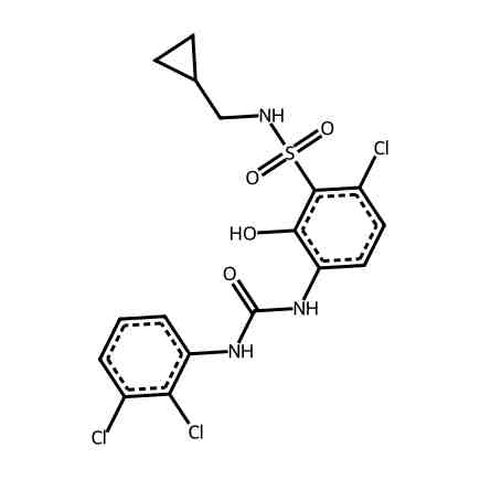 O=C(Nc1ccc(Cl)c(S(=O)(=O)NCC2CC2)c1O)Nc1cccc(Cl)c1Cl